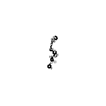 O=S(=O)(CCOCCc1nc(-c2cc3c(Nc4ccc(OCc5cccc(F)c5)c(Cl)c4)ncnc3cn2)cs1)c1ccccn1